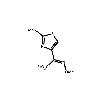 CCOC(=O)C(=NOC)c1csc(NC)n1